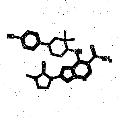 CN1CCN(c2cc3c(N[C@@H]4CCN(c5ccc(C#N)cc5)CC4(C)C)c(C(N)=O)cnn3c2)C1=O